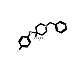 CCOC(=O)C1(Nc2ccc(F)cc2)CCN(Cc2ccccc2)CC1